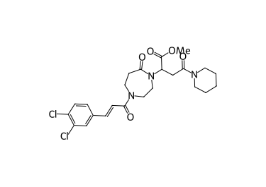 COC(=O)C(CC(=O)N1CCCCC1)N1CCN(C(=O)/C=C/c2ccc(Cl)c(Cl)c2)CCC1=O